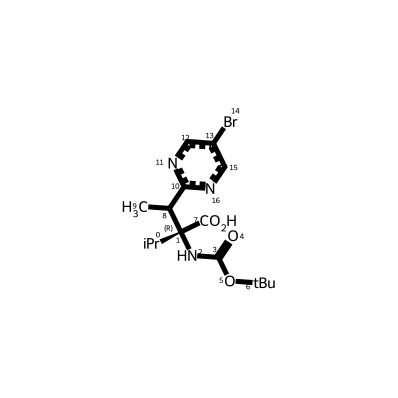 CC(C)[C@](NC(=O)OC(C)(C)C)(C(=O)O)C(C)c1ncc(Br)cn1